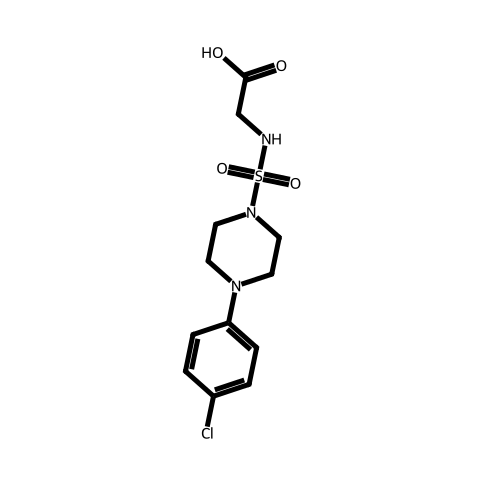 O=C(O)CNS(=O)(=O)N1CCN(c2ccc(Cl)cc2)CC1